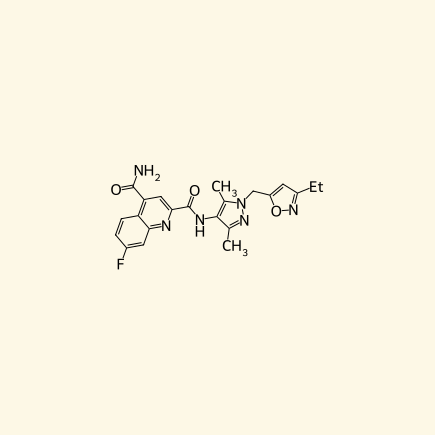 CCc1cc(Cn2nc(C)c(NC(=O)c3cc(C(N)=O)c4ccc(F)cc4n3)c2C)on1